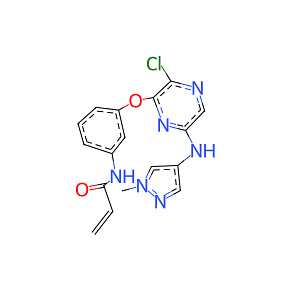 C=CC(=O)Nc1cccc(Oc2nc(Nc3cnn(C)c3)cnc2Cl)c1